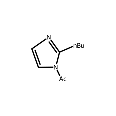 CCCCc1nccn1C(C)=O